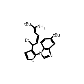 CCC(/C=C\C=C(/N)C(C)(C)C)c1ccsc1-n1cnc2cc(C(C)(C)C)ccc21